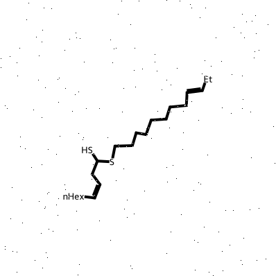 CCC=CCCCCCCCCSC(S)C/C=C\CCCCCC